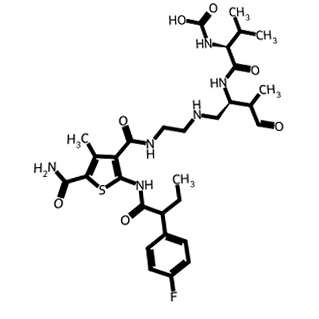 CCC(C(=O)Nc1sc(C(N)=O)c(C)c1C(=O)NCCNC[C@@H](NC(=O)[C@@H](NC(=O)O)C(C)C)C(C)C=O)c1ccc(F)cc1